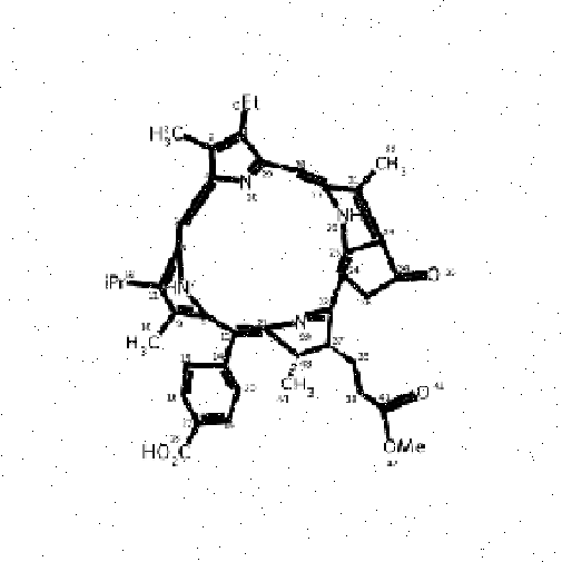 CCC1=C(C)c2cc3[nH]c(c(C)c3C(C)C)c(-c3ccc(C(=O)O)cc3)c3nc(c4c5[nH]c(cc1n2)c(C)c5C(=O)C4)[C@@H](CCC(=O)OC)[C@@H]3C